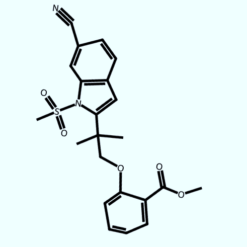 COC(=O)c1ccccc1OCC(C)(C)c1cc2ccc(C#N)cc2n1S(C)(=O)=O